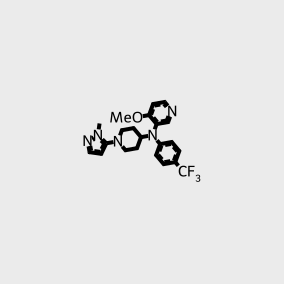 COc1ccncc1N(c1ccc(C(F)(F)F)cc1)C1CCN(c2ccnn2C)CC1